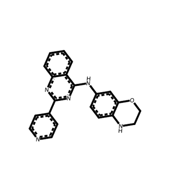 c1ccc2c(Nc3ccc4c(c3)OCCN4)nc(-c3ccncc3)nc2c1